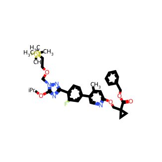 Cc1cc(OCC2(C(=O)OCc3ccccc3)CC2)ncc1-c1ccc(-c2nc(OC(C)C)n(COCC[SH](C)(C)(C)C)n2)c(F)c1